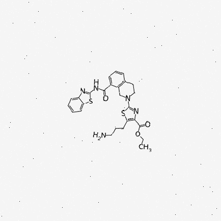 CCOC(=O)c1nc(N2CCc3cccc(C(=O)Nc4nc5ccccc5s4)c3C2)sc1CCCN